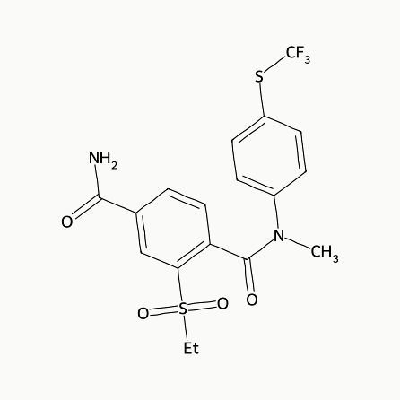 CCS(=O)(=O)c1cc(C(N)=O)ccc1C(=O)N(C)c1ccc(SC(F)(F)F)cc1